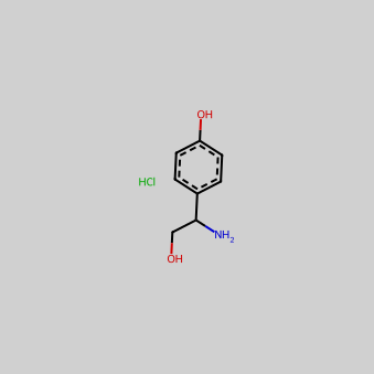 Cl.NC(CO)c1ccc(O)cc1